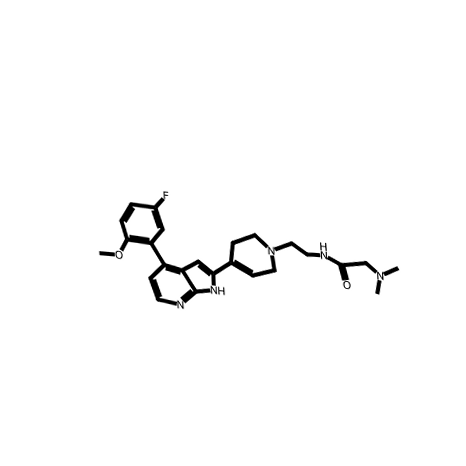 COc1ccc(F)cc1-c1ccnc2[nH]c(C3=CCN(CCNC(=O)CN(C)C)CC3)cc12